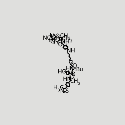 Cc1ncsc1-c1ccc([C@H](C)NC(=O)[C@@H]2C[C@@H](O)CN2C(=O)C(NC(=O)COCCCCCNc2ccc(C(=O)N[C@H]3C(C)(C)[C@H](Oc4cnc(C#N)c(C(F)(F)F)c4)C3(C)C)cc2)C(C)(C)C)cc1